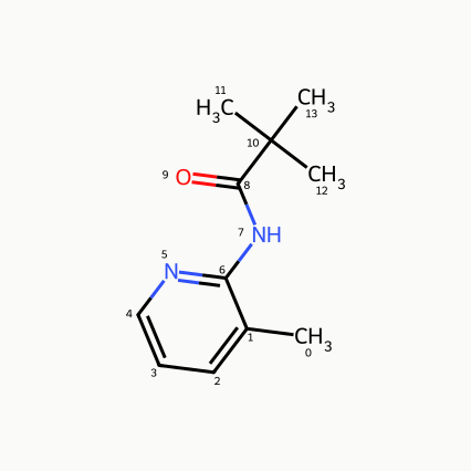 Cc1cccnc1NC(=O)C(C)(C)C